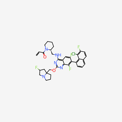 C=CC(=O)N1CCCC[C@H]1CNc1nc(OCC23CCCN2CC(F)C3)nc2c(F)c(-c3cccc4ccc(F)c(Cl)c34)c(F)cc12